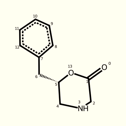 O=C1CNC[C@H](Cc2ccccc2)O1